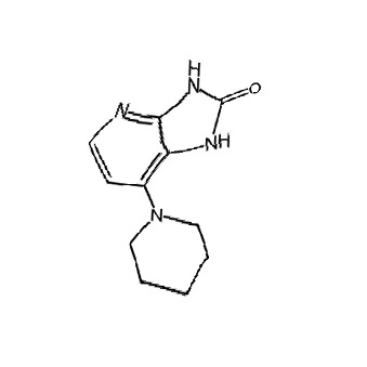 O=c1[nH]c2nccc(N3CCCCC3)c2[nH]1